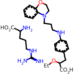 CCOC(Cc1ccc(NCCCN2CCOc3ccccc32)cc1)C(=O)O.N=C(N)NCCCC(N)C(=O)O